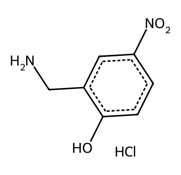 Cl.NCc1cc([N+](=O)[O-])ccc1O